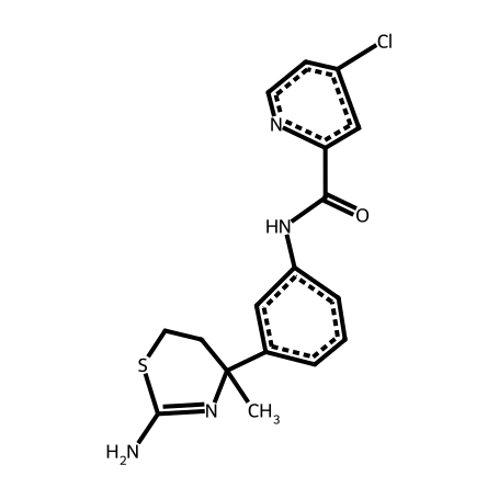 CC1(c2cccc(NC(=O)c3cc(Cl)ccn3)c2)CCSC(N)=N1